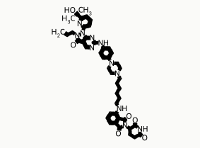 C=CCn1c(=O)c2cnc(Nc3ccc(N4CCN(CCCCCCNc5cccc6c5C(=O)N(C5CCC(=O)NC5=O)C6=O)CC4)cc3)nc2n1-c1cccc(C(C)(C)O)n1